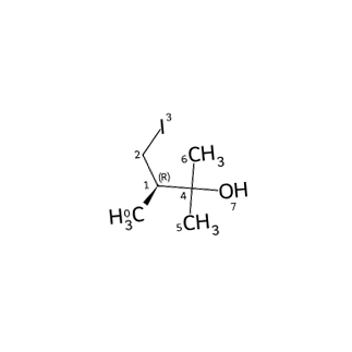 C[C@@H](CI)C(C)(C)O